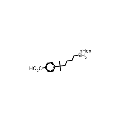 CCCCCC[SiH2]CCCCC(C)(C)c1ccc(C(=O)O)cc1